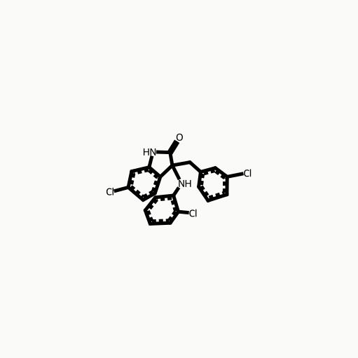 O=C1Nc2cc(Cl)ccc2C1(Cc1cccc(Cl)c1)Nc1ccccc1Cl